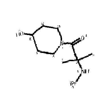 CC(C)NC(C)(C)C(=O)N1CCC(O)CC1